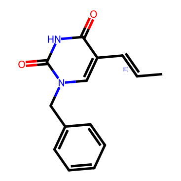 C/C=C/c1cn(Cc2ccccc2)c(=O)[nH]c1=O